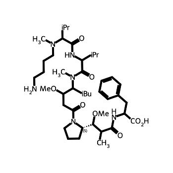 CCC(C)C(C(CC(=O)N1CCC[C@H]1C(OC)C(C)C(=O)NC(Cc1ccccc1)C(=O)O)OC)N(C)C(=O)C(NC(=O)C(C(C)C)N(C)CCCCN)C(C)C